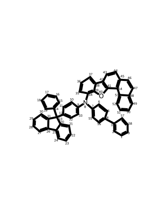 c1ccc(-c2ccc(N(c3ccc(C4(c5ccccc5)c5ccccc5-c5ccccc54)cc3)c3cccc4c3oc3c4ccc4ccc5ccccc5c43)cc2)cc1